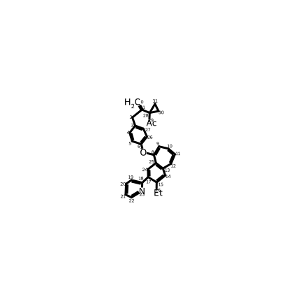 C=C(Cc1ccc(OC2=CC=C=Cc3cc(CC)c(-c4ccccn4)cc32)cc1)C1(C(C)=O)CC1